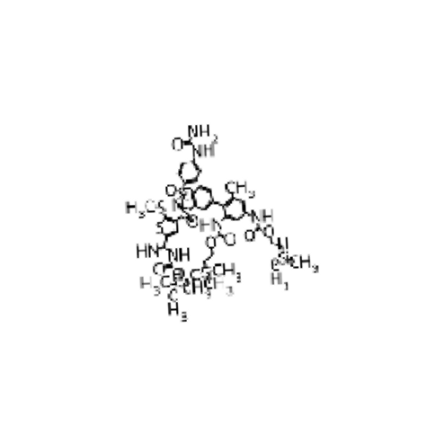 CSc1sc(C(=N)NC(=O)OC(C)(C)C)cc1S(=O)(=NS(=O)(=O)c1ccc(NC(N)=O)cc1)c1cccc(-c2c(C)cc(NC(=O)OCC[SiH](C)C)cc2NC(=O)OCC[Si](C)(C)C)c1